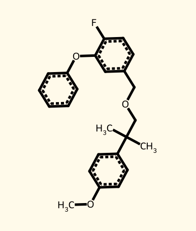 COc1ccc(C(C)(C)COCc2ccc(F)c(Oc3ccccc3)c2)cc1